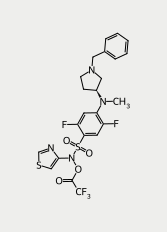 CN(c1cc(F)c(S(=O)(=O)N(OC(=O)C(F)(F)F)c2cscn2)cc1F)[C@H]1CCN(Cc2ccccc2)C1